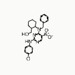 O=[N+]([O-])c1cnc(Nc2ccc(Cl)cc2)nc1N(Cc1ccccc1)C1CCCCC1CO